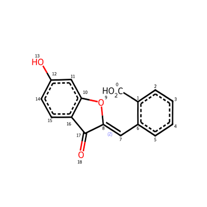 O=C(O)c1ccccc1/C=C1\Oc2cc(O)ccc2C1=O